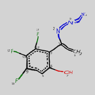 C=C(N=[N+]=[N-])c1c(O)cc(F)c(F)c1F